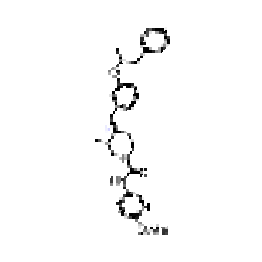 COc1ccc(NC(=O)N2CC/C(=C\c3cccc(OC(C)Cc4ccccc4)c3)C(C)C2)cn1